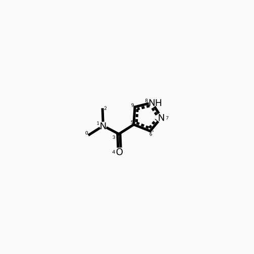 CN(C)C(=O)c1[c]n[nH]c1